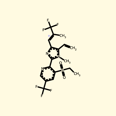 C=Cc1c(/C=C(\C)C(F)(F)F)nc(-c2ncc(C(F)(F)F)cc2S(=O)(=O)CC)n1C